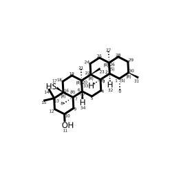 C[C@@H]1[C@H]2[C@H]3CC[C@@H]4[C@@]5(C)CC(O)CC(C)(C)[C@]5(S)CC[C@@]4(C)[C@]3(C)CC[C@@]2(C)CC[C@H]1C